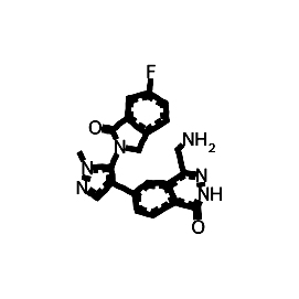 Cn1ncc(-c2ccc3c(=O)[nH]nc(CN)c3c2)c1N1Cc2ccc(F)cc2C1=O